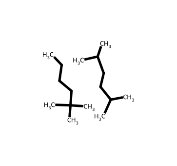 CC(C)CCC(C)C.CCCCC(C)(C)C